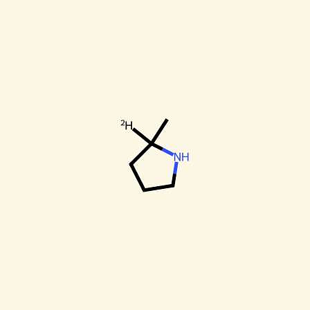 [2H]C1(C)CCCN1